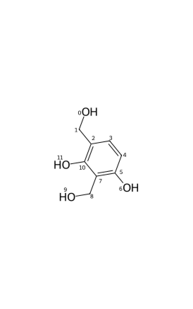 OCc1ccc(O)c(CO)c1O